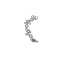 CNS(=O)(=O)Cc1ccc(Nc2nccc(Oc3ccc(NC(=O)Nc4ccc(N5CCCCC5)c(C(F)(F)F)c4)cc3)n2)cc1